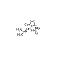 CC(C)=NOCc1c(Cl)cccc1C(=O)NCl